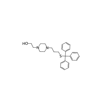 OCCN1CCN(CCCSC(c2ccccc2)(c2ccccc2)c2ccccc2)CC1